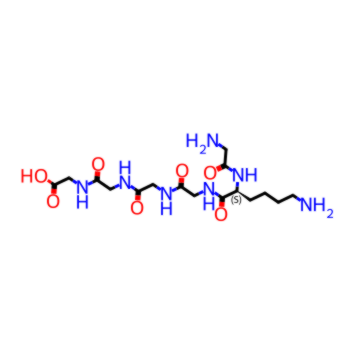 NCCCC[C@H](NC(=O)CN)C(=O)NCC(=O)NCC(=O)NCC(=O)NCC(=O)O